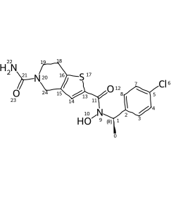 C[C@H](c1ccc(Cl)cc1)N(O)C(=O)c1cc2c(s1)CCN(C(N)=O)C2